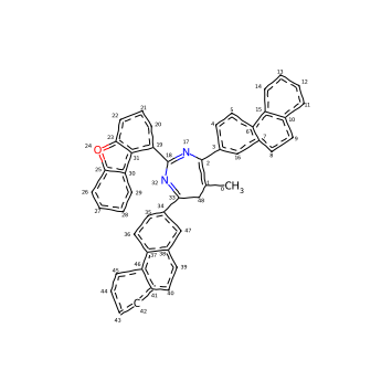 CC1=C(c2ccc3c(ccc4ccccc43)c2)N=C(c2cccc3oc4ccccc4c23)N=C(c2ccc3c(ccc4ccccc43)c2)C1